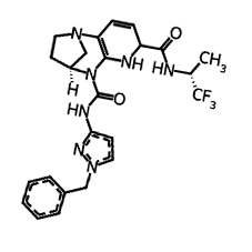 C[C@@H](NC(=O)C1C=CC2=C(N1)N(C(=O)Nc1ccn(Cc3ccccc3)n1)[C@H]1CCN2C1)C(F)(F)F